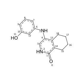 O=c1[nH]cc(Nc2cccc(O)c2)c2c1CCCC2